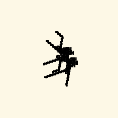 CCCCCCCCCCCCCCCC(=O)O[C@H](CCCCCCCCCCC)CC(=O)NC1C(C)OC(CO[C@@H]2OC(CO)[C@@H](OP(=O)(O)O)[C@H](OC(=O)C[C@@H](CCCCCCCCCCC)OC(=O)CCCCCCCCCCCCC)C2NC(=O)C[C@@H](CCCCCCCCCCC)OC(=O)CCCCCCCCCCC)[C@@H](O)[C@@H]1O